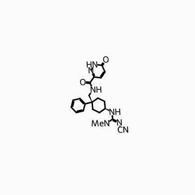 CN/C(=N\C#N)N[C@H]1CC[C@](CNC(=O)c2ccc(=O)[nH]n2)(c2ccccc2)CC1